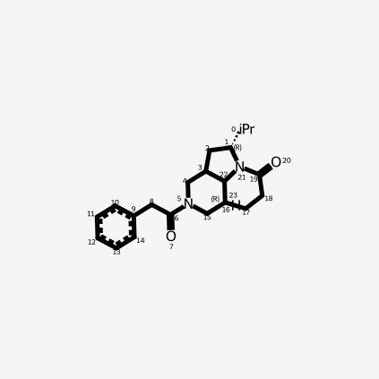 CC(C)[C@H]1CC2CN(C(=O)Cc3ccccc3)C[C@H]3CCC(=O)N1C23